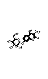 CCOc1c(O)c2ccc(O[C@@H]3O[C@H](CO)[C@@H](O)[C@H](O)[C@@H]3O)cc2oc1=O